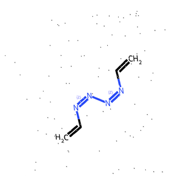 C=C/N=N\N=N/C=C